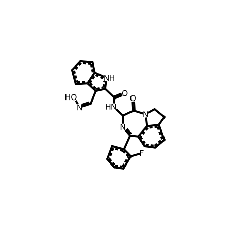 O=C(NC1N=C(c2ccccc2F)c2cccc3c2N(CC3)C1=O)c1[nH]c2ccccc2c1/C=N\O